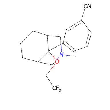 CN1CC2CCCC(C1)C2(OCC(F)(F)F)c1cccc(C#N)c1